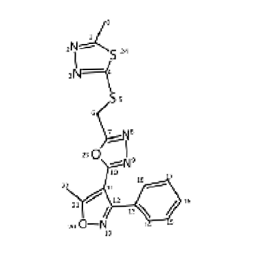 Cc1nnc(SCc2nnc(-c3c(-c4ccccc4)noc3C)o2)s1